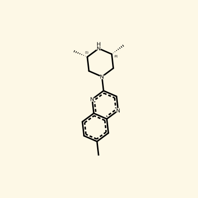 Cc1ccc2nc(N3C[C@@H](C)N[C@@H](C)C3)cnc2c1